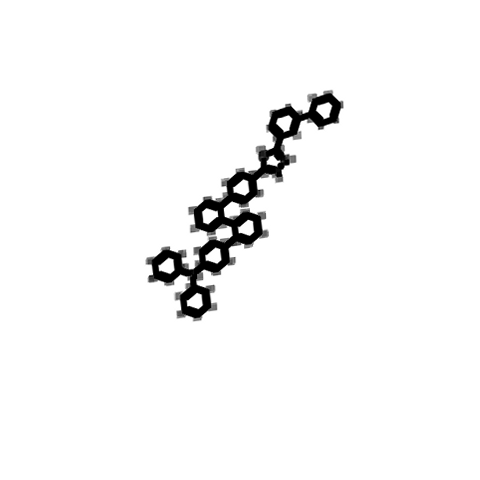 c1ccc(-c2cccc(-c3nnc(-c4ccc(-c5ccccc5-c5ccccc5-c5ccc(N(c6ccccc6)c6ccccc6)cc5)cc4)o3)c2)cc1